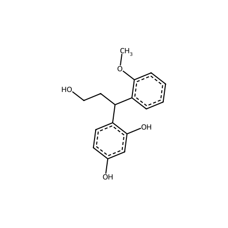 COc1ccccc1C(CCO)c1ccc(O)cc1O